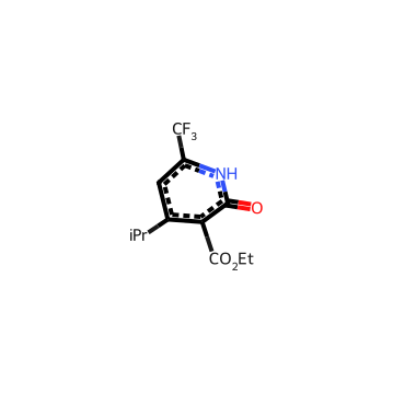 CCOC(=O)c1c(C(C)C)cc(C(F)(F)F)[nH]c1=O